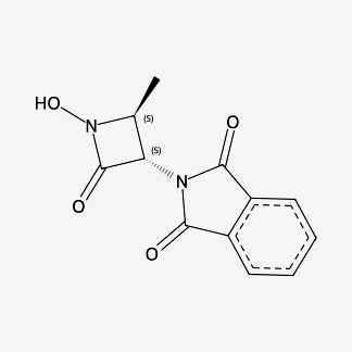 C[C@H]1[C@H](N2C(=O)c3ccccc3C2=O)C(=O)N1O